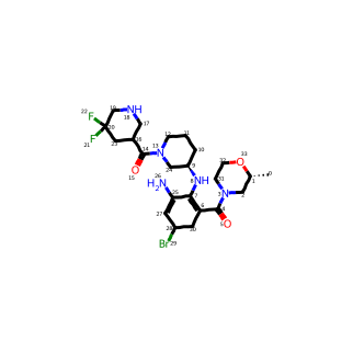 C[C@@H]1CN(C(=O)C2=C(N[C@@H]3CCCN(C(=O)C4CNCC(F)(F)C4)C3)C(N)=CC(Br)C2)CCO1